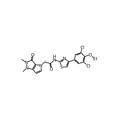 CCOc1c(Cl)cc(-c2csc(NC(=O)Cn3ccc4c3c(=O)n(C)n4C)n2)cc1Cl